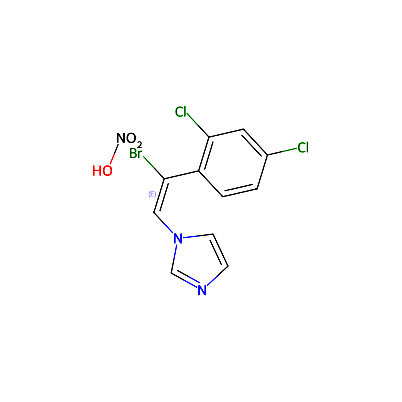 Clc1ccc(/C(Br)=C\n2ccnc2)c(Cl)c1.O=[N+]([O-])O